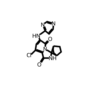 O=C1NC2(C3CCC2CC3)n2c1c(Cl)cc(Nc1ccncn1)c2=O